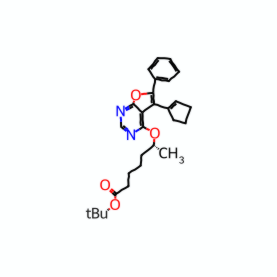 C[C@H](CCCCC(=O)OC(C)(C)C)Oc1ncnc2oc(-c3ccccc3)c(C3=CCCC3)c12